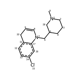 CN1CCCC(CN2C=CCc3ccc(Cl)cc32)C1